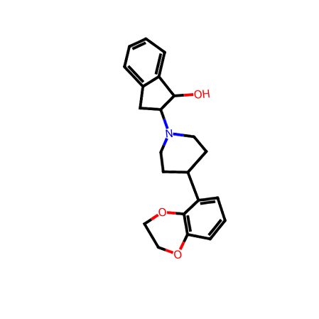 OC1c2ccccc2CC1N1CCC(c2cccc3c2OCCO3)CC1